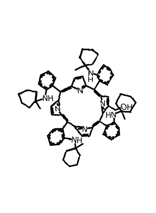 CC1(Nc2ccccc2C2=C3C=CC(=N3)C(c3ccccc3NC3(C)CCCCC3)=C3C=C(CO)C(=N3)C(c3ccccc3NC3(C)CCCCC3)=C3C=CC(=N3)C(c3ccccc3NC3(C)CCCCC3)=C3C=CC2=N3)CCCCC1